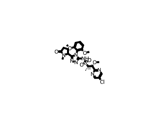 COc1cccc(OC)c1-n1c(NS(=O)(=O)[C@@H](C)[C@H](OC)c2ncc(Cl)cn2)nnc1C1CCC(=O)N1C